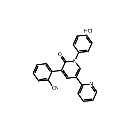 Cl.N#Cc1ccccc1-c1cc(-c2ccccn2)cn(-c2ccccc2)c1=O